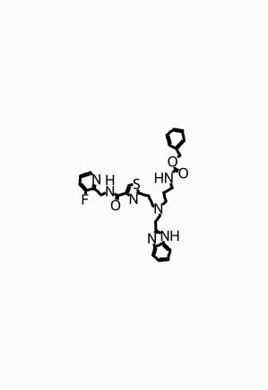 O=C(NCCCN(CCc1nc2ccccc2[nH]1)CCc1nc(C(=O)NCc2ncccc2F)cs1)OCc1ccccc1